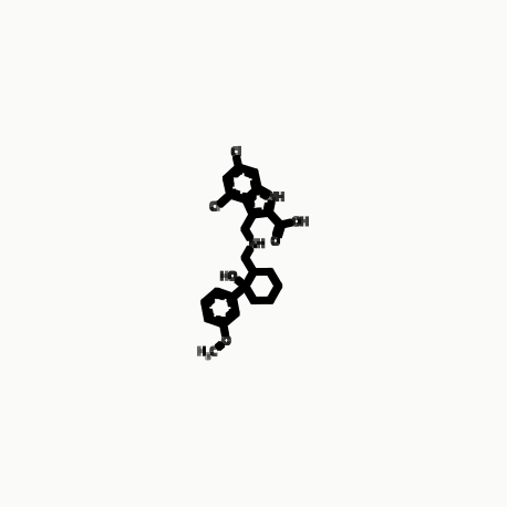 COc1cccc(C2(O)CCCCC2CNCc2c(C(=O)O)[nH]c3cc(Cl)cc(Cl)c23)c1